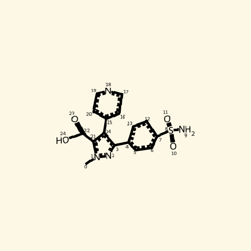 Cn1nc(-c2ccc(S(N)(=O)=O)cc2)c(-c2ccncc2)c1C(=O)O